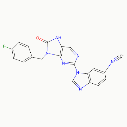 [C-]#[N+]c1ccc2ncn(-c3ncc4[nH]c(=O)n(Cc5ccc(F)cc5)c4n3)c2c1